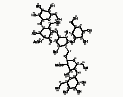 CN[C@H]1[C@H](OC[C@H]2O[C@@H](O[C@H]3[C@H](O)[C@@H](O)C(O)O[C@@H]3CO)[C@H](O)[C@@H](O[C@@H]3O[C@H](CO)[C@@H](O[C@@H]4O[C@H](CO)[C@H](O)[C@H](O)[C@H]4O)[C@H](O)[C@H]3NC(C)=O)[C@H]2O)O[C@H](CO)[C@@H](O[C@@H]2O[C@H](CO)[C@H](O)[C@H](O)[C@H]2O)[C@@H]1O